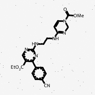 CCOC(=O)c1cnc(NCCNC2=NCN(C(=O)OC)C=C2)nc1-c1ccc(C#N)cc1